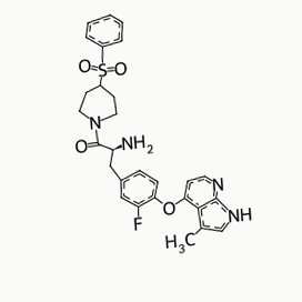 Cc1c[nH]c2nccc(Oc3ccc(C[C@H](N)C(=O)N4CCC(S(=O)(=O)c5ccccc5)CC4)cc3F)c12